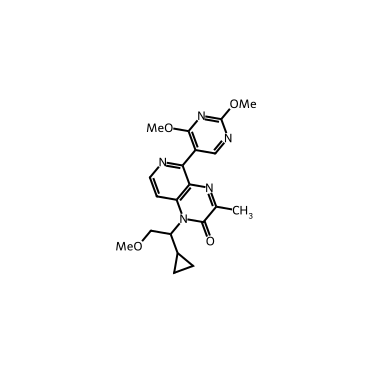 COCC(C1CC1)n1c(=O)c(C)nc2c(-c3cnc(OC)nc3OC)nccc21